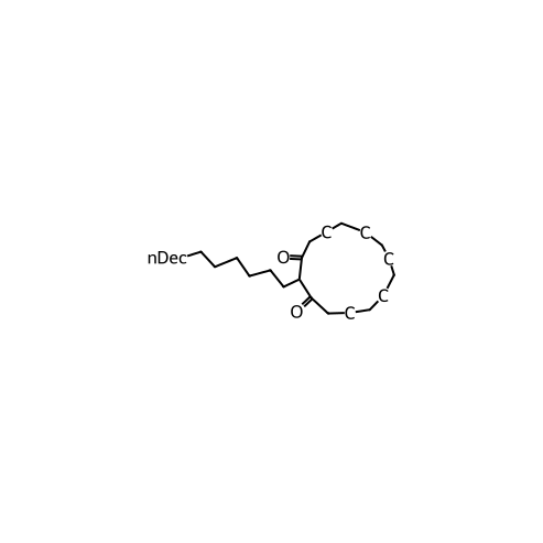 CCCCCCCCCCCCCCCCC1C(=O)CCCCCCCCCCCC1=O